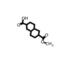 COC(=O)C1CCC2CC(C(=O)O)CCC2C1